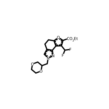 CCOC(=O)c1oc2c(c1C(F)F)-c1nn(CC3COCCO3)cc1CC2